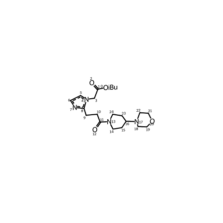 CC(C)COC(=O)Cn1ccnc1CCC(=O)N1CCC(N2CCOCC2)CC1